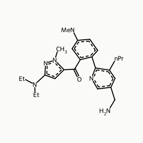 CCCc1cc(CN)cnc1-c1ccc(NC)cc1C(=O)c1cc(N(CC)CC)nn1C